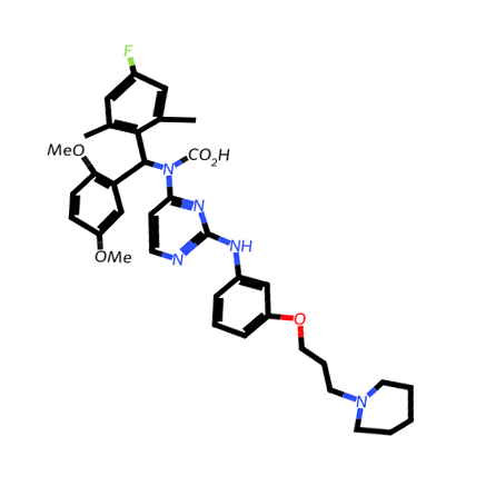 COc1ccc(OC)c(C(c2c(C)cc(F)cc2C)N(C(=O)O)c2ccnc(Nc3cccc(OCCCN4CCCCC4)c3)n2)c1